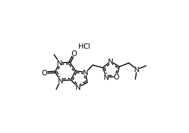 CN(C)Cc1nc(Cn2cnc3c2c(=O)n(C)c(=O)n3C)no1.Cl